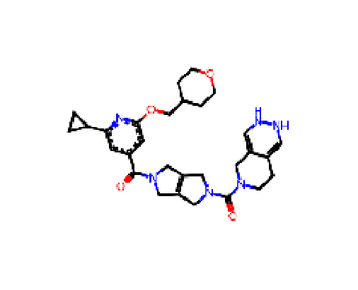 O=C(c1cc(OCC2CCOCC2)nc(C2CC2)c1)N1CC2=C(C1)CN(C(=O)N1CCC3=CNNC=C3C1)C2